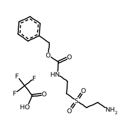 NCCS(=O)(=O)CCNC(=O)OCc1ccccc1.O=C(O)C(F)(F)F